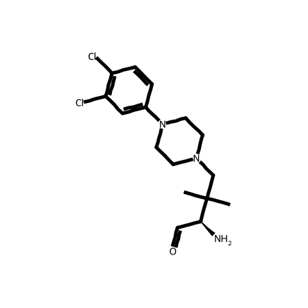 CC(C)(CN1CCN(c2ccc(Cl)c(Cl)c2)CC1)[C@@H](N)C=O